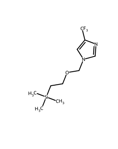 C[Si](C)(C)CCOCn1cnc(C(F)(F)F)c1